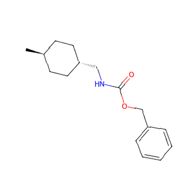 C[C@H]1CC[C@H](CNC(=O)OCc2ccccc2)CC1